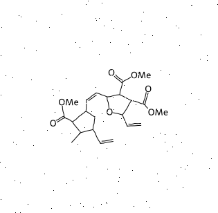 C=CC1CC(/C=C\C2OC(C=C)C(C(=O)OC)C2C(=O)OC)C(C(=O)OC)C1C